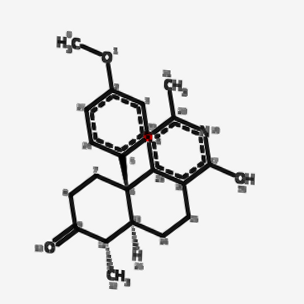 COc1ccc([C@]23CCC(=O)[C@@H](C)[C@@H]2CCc2c(O)nc(C)nc23)cc1